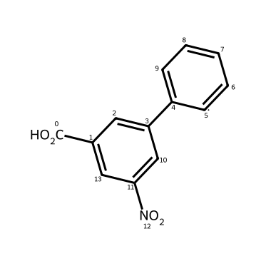 O=C(O)c1cc(-c2[c]cccc2)cc([N+](=O)[O-])c1